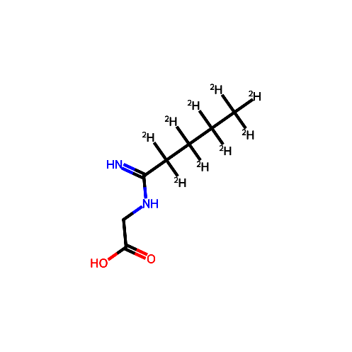 [2H]C([2H])([2H])C([2H])([2H])C([2H])([2H])C([2H])([2H])C(=N)NCC(=O)O